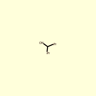 CC(C)C(N=O)C(C)C